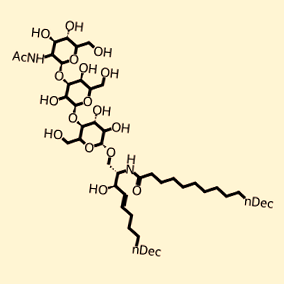 CCCCCCCCCCCCC/C=C/[C@@H](O)[C@H](CO[C@@H]1OC(CO)[C@@H](O[C@@H]2OC(CO)[C@H](O)[C@H](O[C@@H]3OC(CO)[C@@H](O)[C@H](O)C3NC(C)=O)C2O)[C@H](O)C1O)NC(=O)CCCCCCCCCCCCCCCCCCC